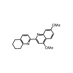 COc1ccc2c(OC)cc(-c3ccc4c(n3)CCCC4)nc2c1